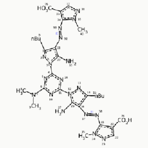 CCCCc1nn(-c2nc(N(C)C)nc(-n3nc(CCCC)c(/N=N/c4c(C(=O)O)cnn4C)c3N)n2)c(N)c1/N=N/c1c(C(=O)O)cnn1C